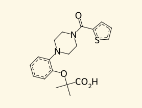 CC(C)(Oc1ccccc1N1CCN(C(=O)c2cccs2)CC1)C(=O)O